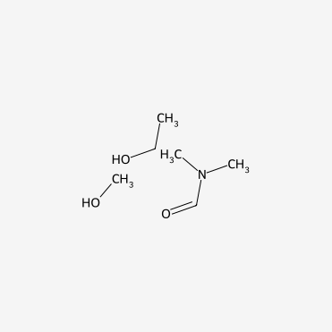 CCO.CN(C)C=O.CO